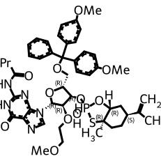 C=C(C)[C@H]1CC[C@@]2(C)S[PH](O)(O[C@H]3[C@@H](OCCOC)[C@H](n4cnc5c(=O)[nH]c(NC(=O)C(C)C)nc54)O[C@@H]3COC(c3ccccc3)(c3ccc(OC)cc3)c3ccc(OC)cc3)O[C@@H]2C1